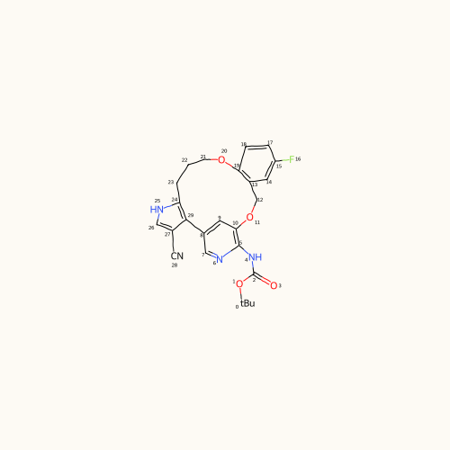 CC(C)(C)OC(=O)Nc1ncc2cc1OCc1cc(F)ccc1OCCCc1[nH]cc(C#N)c1-2